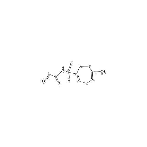 C=CC(=O)NS(=O)(=O)C1=CCC=C(C)C=C1